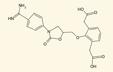 N=C(N)c1ccc(N2CC(COc3c(CC(=O)O)cccc3CC(=O)O)OC2=O)cc1